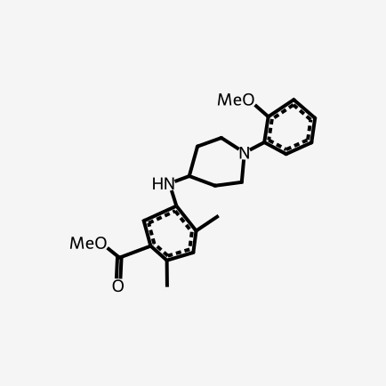 COC(=O)c1cc(NC2CCN(c3ccccc3OC)CC2)c(C)cc1C